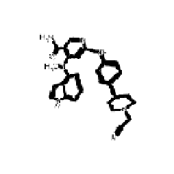 CN(c1cc(Nc2ccc(C3CCN(CC#N)CC3)cc2)ncc1C(N)=O)c1cccc2[nH]ccc12